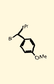 CCCC(Br)c1ccc(OC)cc1